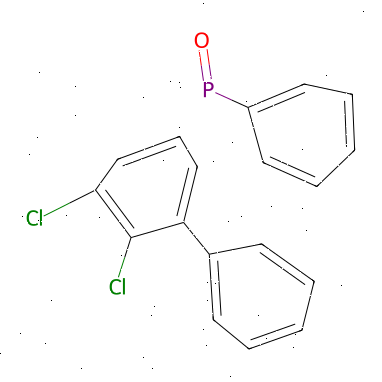 Clc1cccc(-c2ccccc2)c1Cl.O=Pc1ccccc1